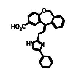 O=C(O)c1ccc2c(c1)C(=CCc1nc(-c3ccccc3)c[nH]1)c1ccccc1CO2